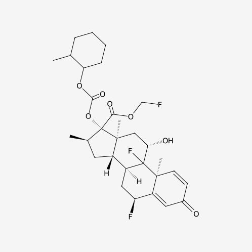 CC1CCCCC1OC(=O)O[C@@]1(C(=O)OCF)[C@H](C)C[C@H]2[C@@H]3C[C@H](F)C4=CC(=O)C=C[C@]4(C)C3(F)[C@@H](O)C[C@@]21C